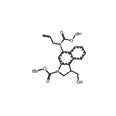 C=CCN(C(=O)OC(C)(C)C)c1cc2c(c3ccccc13)C(CO)CN2C(=O)OC(C)(C)C